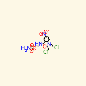 NS(=O)(=O)OCCNC(=O)c1cc([N+](=O)[O-])ccc1N(CCCl)CCCl